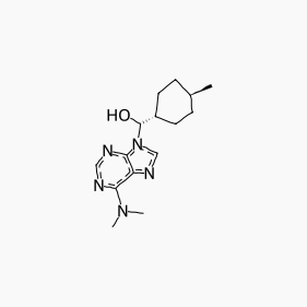 CN(C)c1ncnc2c1ncn2C(O)[C@H]1CC[C@H](C)CC1